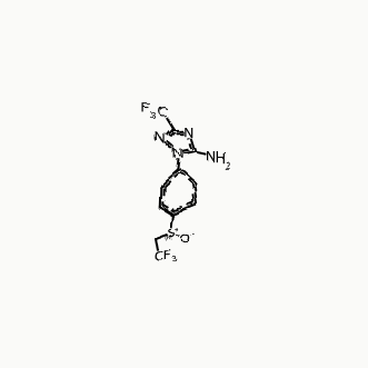 Nc1nc(C(F)(F)F)nn1-c1ccc([S@@+]([O-])CC(F)(F)F)cc1